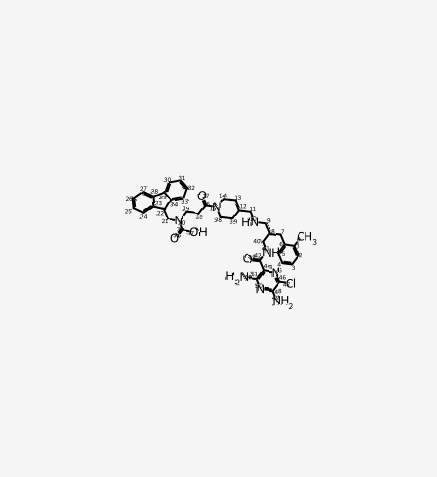 Cc1ccccc1CC(CNCC1CCN(C(=O)CCN(CC2c3ccccc3-c3ccccc32)C(=O)O)CC1)CNC(=O)c1nc(Cl)c(N)nc1N